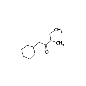 CCC(C)C(=O)CC1CCCCC1